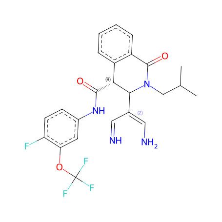 CC(C)CN1C(=O)c2ccccc2[C@@H](C(=O)Nc2ccc(F)c(OC(F)(F)F)c2)C1/C(C=N)=C/N